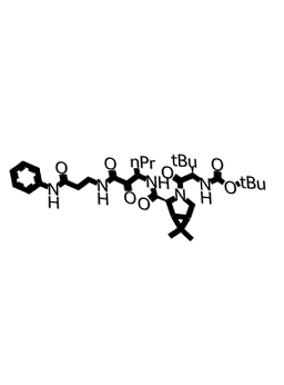 CCCC(NC(=O)[C@@H]1C2C(CN1C(=O)[C@@H](NC(=O)OC(C)(C)C)C(C)(C)C)C2(C)C)C(=O)C(=O)NCCC(=O)Nc1ccccc1